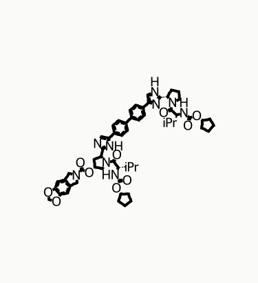 CC(C)[C@H](NC(=O)OC1CCCC1)C(=O)N1C[C@H](OC(=O)N2Cc3cc4c(cc3C2)OCO4)CC1c1ncc(-c2ccc(-c3ccc(-c4c[nH]c([C@@H]5CCCN5C(=O)[C@@H](NC(=O)OC5CCCC5)C(C)C)n4)cc3)cc2)[nH]1